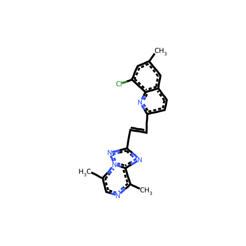 Cc1cc(Cl)c2nc(C=Cc3nc4c(C)ncc(C)n4n3)ccc2c1